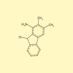 Cc1cc2c(c([SiH3])c1C)C(Cl)c1ccccc1-2